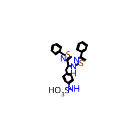 O=S(=O)(O)Nc1ccc(CC(Nc2nc(-c3ccccc3)cs2)c2csc(-c3ccccc3)n2)cc1